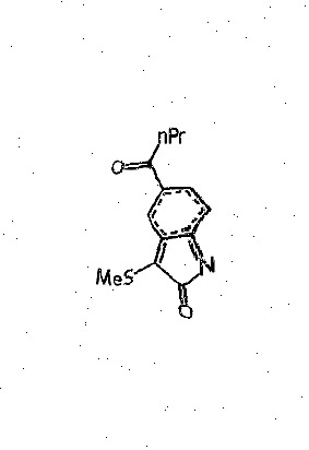 CCCC(=O)c1ccc2c(c1)=C(SC)C(=O)N=2